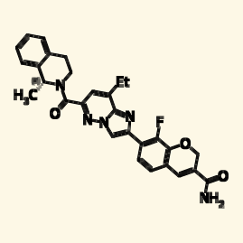 CCc1cc(C(=O)N2CCc3ccccc3[C@H]2C)nn2cc(-c3ccc4c(c3F)OCC(C(N)=O)=C4)nc12